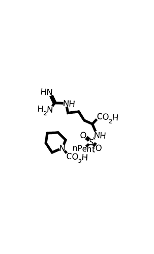 CCCCCS(=O)(=O)NC(CCCNC(=N)N)C(=O)O.O=C(O)N1CCCCC1